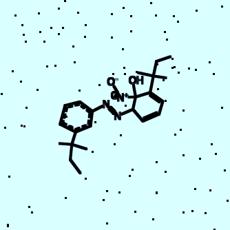 CCC(C)(C)C1=CC=CC(N=Nc2cccc(C(C)(C)CC)c2)C1(O)[N+](=O)[O-]